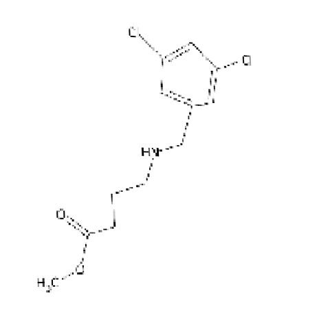 COC(=O)CCCNCc1cc(Cl)cc(Cl)c1